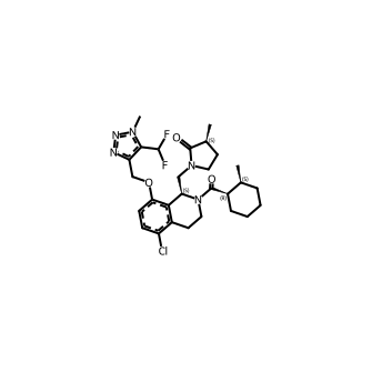 C[C@H]1CCN(C[C@@H]2c3c(OCc4nnn(C)c4C(F)F)ccc(Cl)c3CCN2C(=O)[C@@H]2CCCC[C@@H]2C)C1=O